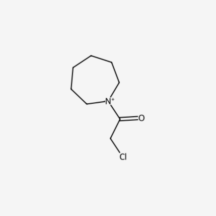 O=C(CCl)[N+]1CCCCCC1